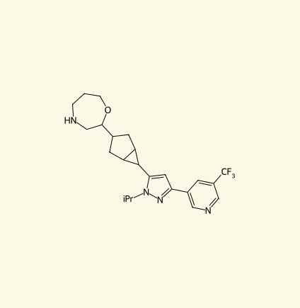 CC(C)n1nc(-c2cncc(C(F)(F)F)c2)cc1C1C2CC(C3CNCCCO3)CC21